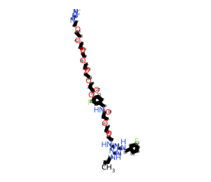 CCCCNc1nc(NCCOCCOCCC(=O)NCc2ccc(OC(=O)CCOCCOCCOCCOCCOCCOCCN=[N+]=[N-])c(F)c2)nc(NCc2cccc(F)c2)n1